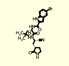 CC(C)(C)C[C@H](NC(=O)c1cc2cc(Br)ccc2[nH]1)C(=O)N[C@H](C#N)C[C@@H]1CCNC1=O